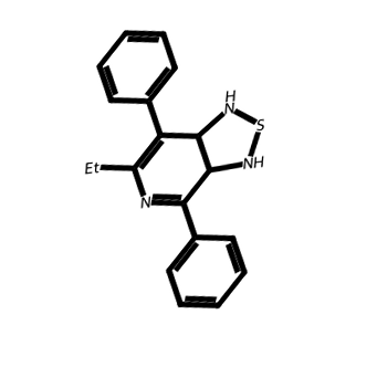 CCC1=C(c2ccccc2)C2NSNC2C(c2ccccc2)=N1